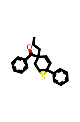 CCCC1(C(=O)c2ccccc2)C=CC2(c3ccccc3)SC2C1